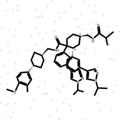 COc1ccc([C@H]2CC[C@H](CNC(=O)C3(c4cccc(-c5cnn(C(C)C)c5)c4)CC[C@@H](CNC(=O)C(C)C)C[C@@H]3c3cccc(-c4cnn(C(C)C)c4)c3)CC2)cc1C